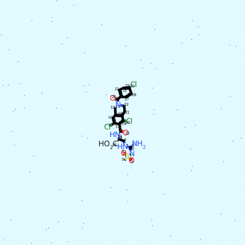 CS(=O)(=O)/N=C(/N)NC[C@H](NC(=O)c1c(Cl)cc2c(c1Cl)CCN(C(=O)c1ccc(Cl)cc1)C2)C(=O)O